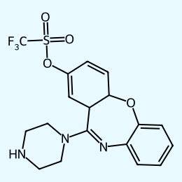 O=S(=O)(OC1=CC2C(N3CCNCC3)=Nc3ccccc3OC2C=C1)C(F)(F)F